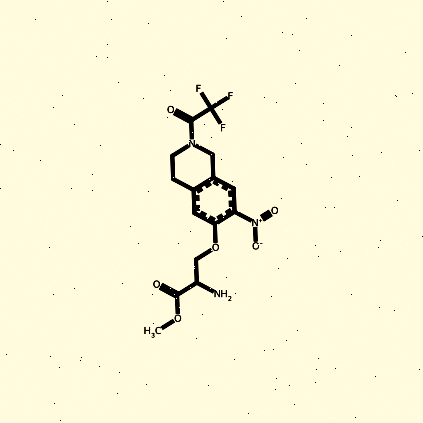 COC(=O)C(N)COc1cc2c(cc1[N+](=O)[O-])CN(C(=O)C(F)(F)F)CC2